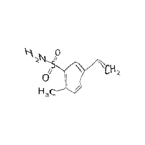 C=Cc1ccc(C)c(S(N)(=O)=O)c1